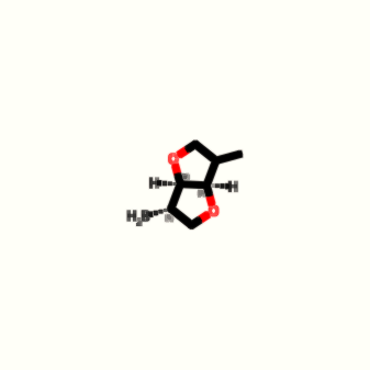 B[C@H]1CO[C@@H]2C(C)CO[C@@H]21